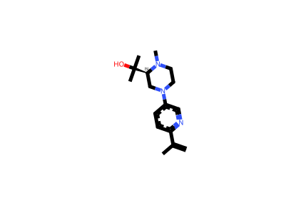 C=C(C)c1ccc(N2CCN(C)[C@H](C(C)(C)O)C2)cn1